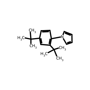 CC(C)(C)c1ccc(-n2cccc2)c(C(C)(C)C)c1